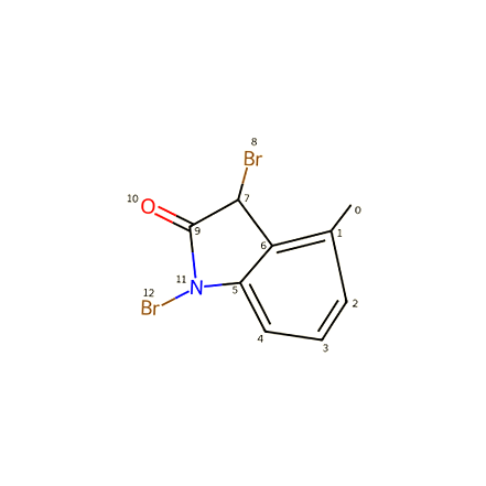 Cc1cccc2c1C(Br)C(=O)N2Br